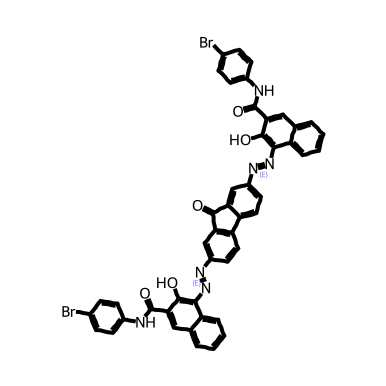 O=C1c2cc(/N=N/c3c(O)c(C(=O)Nc4ccc(Br)cc4)cc4ccccc34)ccc2-c2ccc(/N=N/c3c(O)c(C(=O)Nc4ccc(Br)cc4)cc4ccccc34)cc21